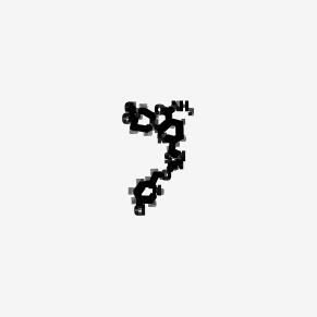 NC(=O)c1ccc(-c2nnc(OCc3ccc(Cl)cn3)s2)nc1N1CCS(=O)(=O)CC1